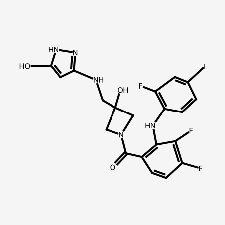 O=C(c1ccc(F)c(F)c1Nc1ccc(I)cc1F)N1CC(O)(CNc2cc(O)[nH]n2)C1